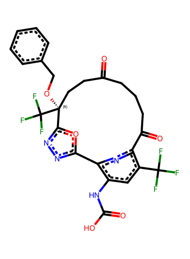 O=C1CCCC(=O)c2nc(c(NC(=O)O)cc2C(F)(F)F)-c2nnc(o2)[C@@](OCc2ccccc2)(C(F)(F)F)CC1